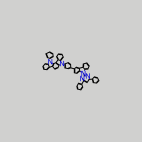 c1ccc(-c2cc(-c3ccccc3)nc(-n3c4ccccc4c4cc(-c5ccc(-n6c7ccccc7c7c6ccc6c8ccccc8n(-c8ccccc8)c67)cc5)ccc43)n2)cc1